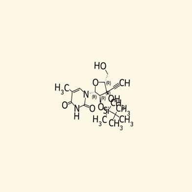 C#C[C@@]1(O)[C@@H](CO)O[C@@H](n2cc(C)c(=O)[nH]c2=O)[C@@H]1O[Si](C)(C)C(C)(C)C